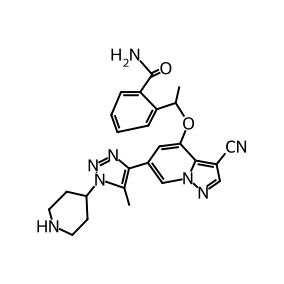 Cc1c(-c2cc(OC(C)c3ccccc3C(N)=O)c3c(C#N)cnn3c2)nnn1C1CCNCC1